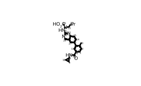 Cc1ccc(C(=O)NC2CC2)cc1-c1ccc2nc(NN(CC(C)C)C(=O)O)ncc2c1